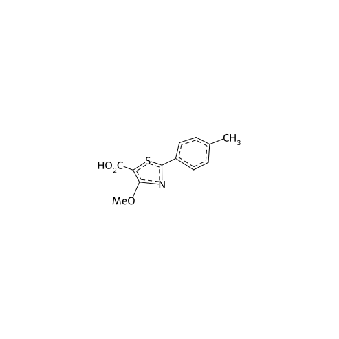 COc1nc(-c2ccc(C)cc2)sc1C(=O)O